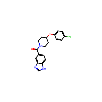 O=C(c1ccc2[nH]cnc2c1)N1CCC(Oc2ccc(Cl)cc2)CC1